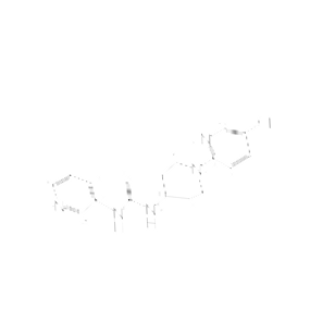 FC(F)(F)c1ccc(N2CCC(NC(=S)Nc3cccnc3)CC2)nc1